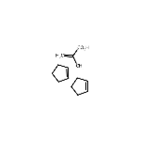 C1=CCCC1.C1=CCCC1.C=C(C)C(=O)O